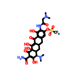 CN(C)CC(=O)Nc1c(OS(=O)(=O)C(F)(F)F)cc2c(c1O)C(=O)C1=C(O)C3(O)C(=O)C(C(N)=O)=C(O)[C@@H](N(C)C)C3CC1C2